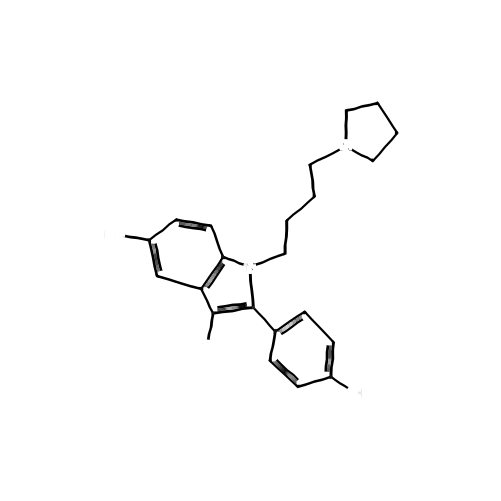 Cc1c(-c2ccc(O)cc2)n(CCCCN2CCCC2)c2ccc(O)cc12